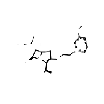 CSc1ccc[n+](CCSC2=C(C(=O)[O-])N3C(=O)[C@H](C(C)O)[C@H]3C2)c1